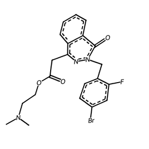 CN(C)CCOC(=O)Cc1nn(Cc2ccc(Br)cc2F)c(=O)c2ccccc12